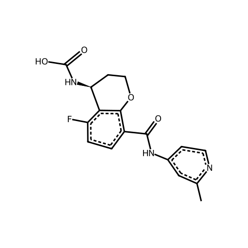 Cc1cc(NC(=O)c2ccc(F)c3c2OCC[C@@H]3NC(=O)O)ccn1